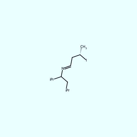 CC(C)CC(/N=C/C[C@H](C)I)C(C)C